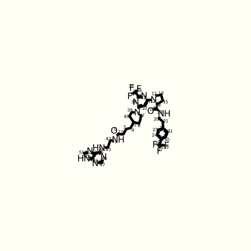 O=C(CCCC1CCN(c2cc(N3CCC[C@H]3C(=O)NCCc3ccc(C(F)(F)F)cc3)nc(C(F)(F)F)n2)CC1)NCCNc1ncnc2[nH]cnc12